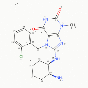 Cn1c(=O)[nH]c(=O)c2c1nc(N[C@@H]1CCCC[C@@H]1N)n2Cc1ccccc1Cl